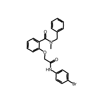 CN(Cc1ccccc1)C(=O)c1ccccc1OCC(=O)Nc1ccc(Br)cc1